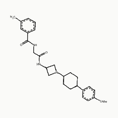 COc1ccc(C2CCC(N3CC(NC(=O)CNC(=O)c4cccc(C)c4)C3)CC2)cc1